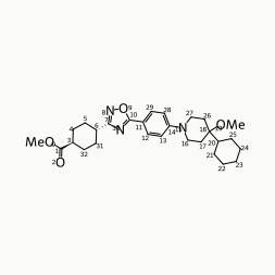 COC(=O)[C@H]1CC[C@H](c2noc(-c3ccc(N4CCC(OC)(C5CCCCC5)CC4)cc3)n2)CC1